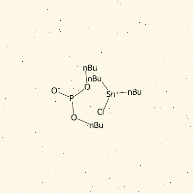 CCCCOP([O-])OCCCC.CCC[CH2][Sn+]([Cl])[CH2]CCC